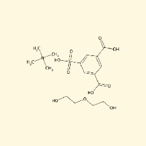 C[N+](C)(C)C.O=C(O)c1cc(C(=O)O)cc(S(=O)(=O)O)c1.OCCOCCO